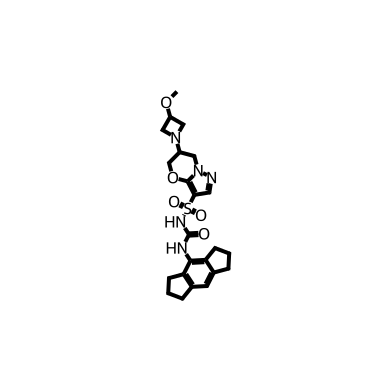 COC1CN(C2COc3c(S(=O)(=O)NC(=O)Nc4c5c(cc6c4CCC6)CCC5)cnn3C2)C1